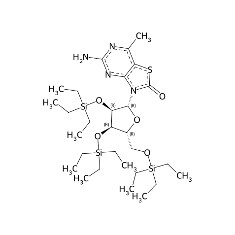 CC[Si](CC)(CC)OC[C@H]1O[C@@H](n2c(=O)sc3c(C)nc(N)nc32)[C@H](O[Si](CC)(CC)CC)[C@@H]1O[Si](CC)(CC)CC